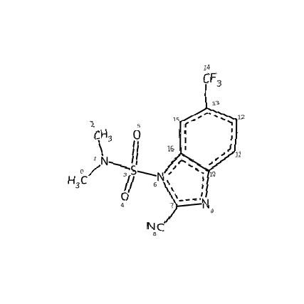 CN(C)S(=O)(=O)n1c(C#N)nc2ccc(C(F)(F)F)cc21